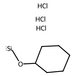 Cl.Cl.Cl.[Si]OC1CCCCC1